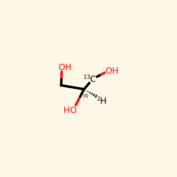 [2H][C@](O)(CO)[13CH2]O